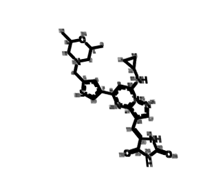 CC1CN(Cc2cc(-c3cc(NC4CC4)n4ncc(/C=C5\NC(=O)NC5=O)c4n3)cs2)CC(C)O1